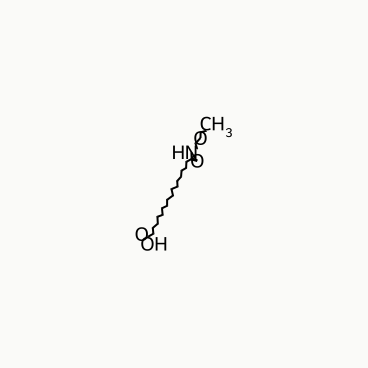 CCCOCCNC(=O)CCCCCCCCCCCCCCCCC(=O)O